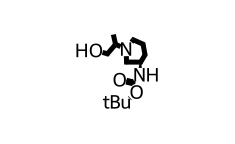 CC(CO)N1CCC[C@@H](NC(=O)OC(C)(C)C)C1